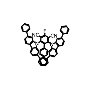 N#Cc1c(F)c(C#N)c(-n2c3cc(-c4ccccc4)ccc3c3ccc(-c4ccccc4)cc32)c(-c2ccccc2)c1-n1c2cc(-c3ccccc3)ccc2c2ccc(-c3ccccc3)cc21